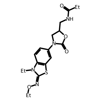 CCON=c1sc2cc(N3CC(CNC(=O)CC)OC3=O)ccc2n1CC